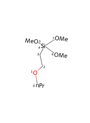 CCCOCC[Si](OC)(OC)OC